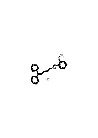 Cl.FC(F)(F)Oc1ccccc1CNCCCC=C(c1ccccc1)c1ccccc1